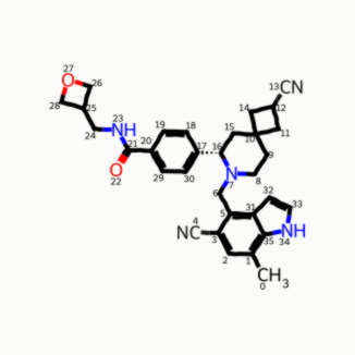 Cc1cc(C#N)c(CN2CCC3(CC(C#N)C3)C[C@H]2c2ccc(C(=O)NCC3COC3)cc2)c2cc[nH]c12